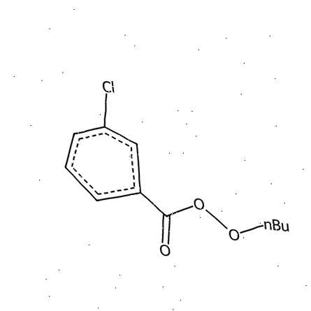 CCCCOOC(=O)c1cccc(Cl)c1